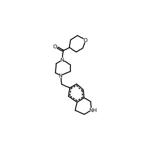 O=C(C1CCOCC1)N1CCN(Cc2ccc3c(c2)CCNC3)CC1